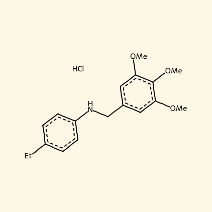 CCc1ccc(NCc2cc(OC)c(OC)c(OC)c2)cc1.Cl